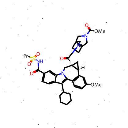 COC(=O)N1CC23CCC2(C1)CN(C(=O)[C@]12C[C@H]1c1cc(OC)ccc1-c1c(C4CCCCC4)c4ccc(C(=O)NS(=O)(=O)C(C)C)cc4n1C2)C3